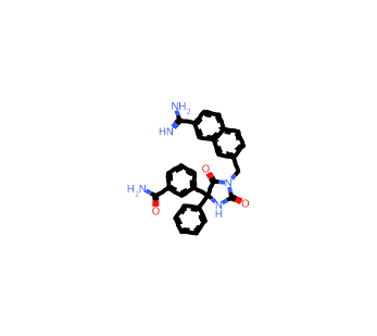 N=C(N)c1ccc2ccc(CN3C(=O)NC(c4ccccc4)(c4cccc(C(N)=O)c4)C3=O)cc2c1